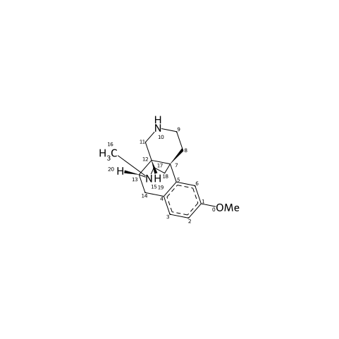 COc1ccc2c(c1)[C@@]13CCNC[C@H]1[C@@H](C2)N(C)CC3